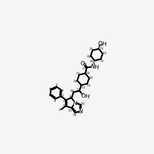 CC1=C(c2ccccc2)C(CC(O)C2CCC(C(=O)N[C@H]3CC[C@H](O)CC3)CC2)n2cncc21